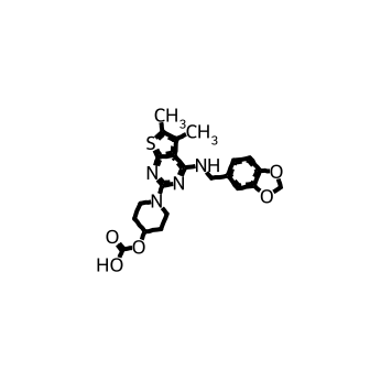 Cc1sc2nc(N3CCC(OC(=O)O)CC3)nc(NCc3ccc4c(c3)OCO4)c2c1C